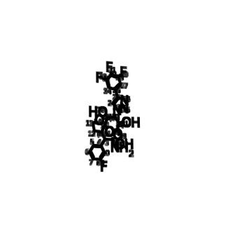 NC(=O)C(c1cccc(F)c1)[C@H]1CCO[C@]12O[C@H](CO)[C@H](O)[C@H](n1cc(-c3cc(F)c(F)c(F)c3)nn1)[C@H]2O